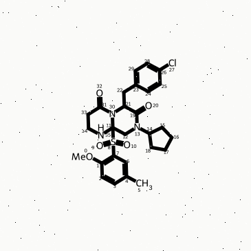 COc1ccc(C)cc1S(=O)(=O)C12CN(C3CCCC3)C(=O)C(Cc3ccc(Cl)cc3)N1C(=O)CCN2